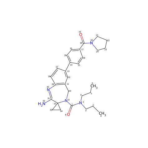 CCCN(CCC)C(=O)N1Cc2cc(-c3ccc(C(=O)N4CCCC4)cc3)ccc2N=C(N)C12CC2